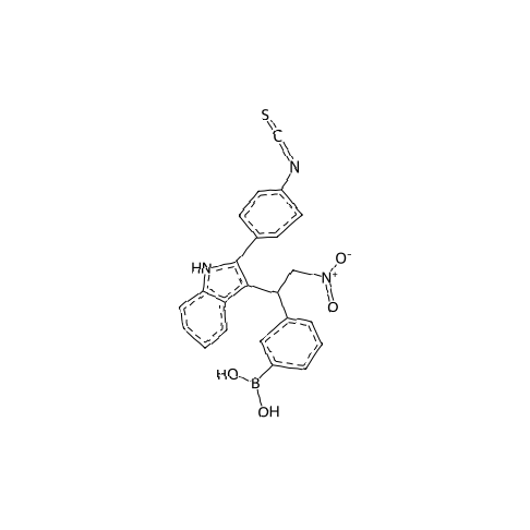 O=[N+]([O-])CC(c1cccc(B(O)O)c1)c1c(-c2ccc(N=C=S)cc2)[nH]c2ccccc12